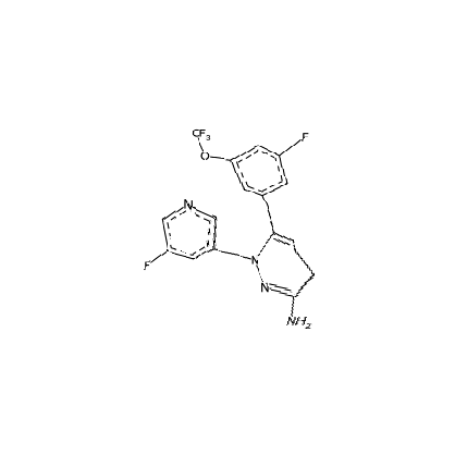 NC1=NN(c2cncc(F)c2)C(c2cc(F)cc(OC(F)(F)F)c2)=CC1